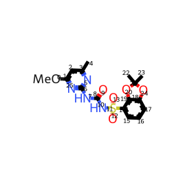 COc1cc(C)nc(NC(=O)NS(=O)(=O)c2cccc3c2OC(C)(C)O3)n1